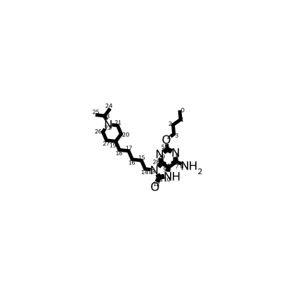 CCCCOc1nc(N)c2[nH]c(=O)n(CCCCCC3CCN(C(C)C)CC3)c2n1